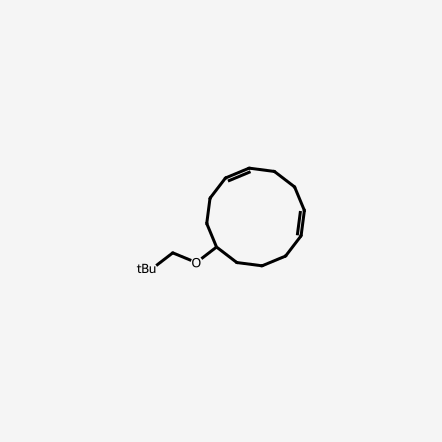 CC(C)(C)COC1CCC=CCCC=CCCC1